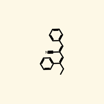 CCC(=CC(C#N)=Cc1ccccc1)c1ccccc1